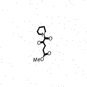 COC(=O)CCC(=O)C(=O)N1CCCCC1